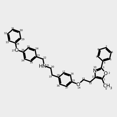 Cc1oc(-c2ccccc2)nc1CCOc1ccc(CCNCc2ccc(Oc3ccccc3)cc2)cc1